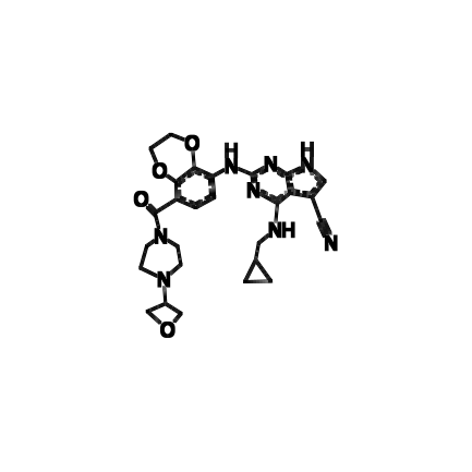 N#Cc1c[nH]c2nc(Nc3ccc(C(=O)N4CCN(C5COC5)CC4)c4c3OCCO4)nc(NCC3CC3)c12